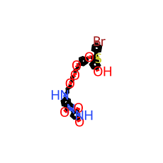 O=C1CCC(N2Cc3cc(NCCCOCCOCCOc4ccc(Oc5c(-c6ccc(Br)cc6)sc6cc(O)ccc56)cc4)ccc3C2=O)C(=O)N1